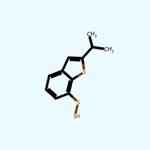 CC(C)c1cc2cccc(SS)c2s1